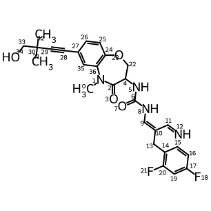 CN1C(=O)C(NC(=O)N/C=C(\C=N)Cc2ccc(F)cc2F)COc2ccc(C#CC(C)(C)CO)cc21